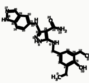 CCc1cc(CNc2[nH]nc(Nc3ccc4[nH]ncc4c3)c2C(N)=O)cc(CC)c1O